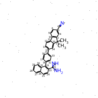 CC1(C)c2cc(C#N)ccc2-c2ccc(-c3ccc(-c4c(C(=N)N)ccc5ccccc45)cc3)cc21